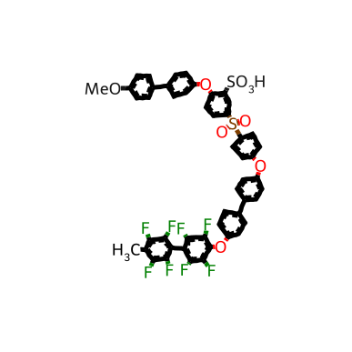 COc1ccc(-c2ccc(Oc3ccc(S(=O)(=O)c4ccc(Oc5ccc(-c6ccc(Oc7c(F)c(F)c(-c8c(F)c(F)c(C)c(F)c8F)c(F)c7F)cc6)cc5)cc4)cc3S(=O)(=O)O)cc2)cc1